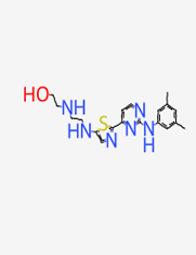 Cc1cc(C)cc(Nc2nccc(-c3ncc(NCCNCCO)s3)n2)c1